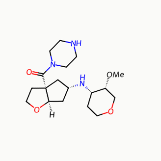 CO[C@@H]1COCC[C@@H]1N[C@@H]1C[C@H]2OCC[C@@]2(C(=O)N2CCNCC2)C1